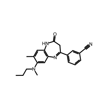 CCCN(C)c1cc2c(cc1C)NC(=O)CC(c1cccc(C#N)c1)=N2